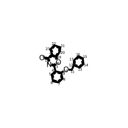 O=c1nc(-c2ccccc2OCc2ccccc2)oc2ccccc12